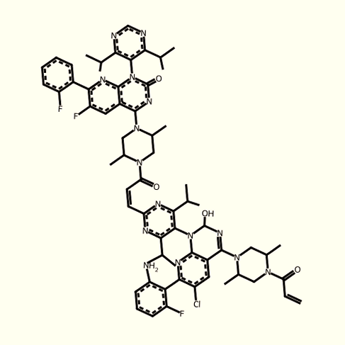 C=CC(=O)N1CC(C)N(C2=NC(O)N(c3c(C(C)C)nc(/C=C\C(=O)N4CC(C)N(c5nc(=O)n(-c6c(C(C)C)ncnc6C(C)C)c6nc(-c7ccccc7F)c(F)cc56)CC4C)nc3C(C)C)c3nc(-c4c(N)cccc4F)c(Cl)cc32)CC1C